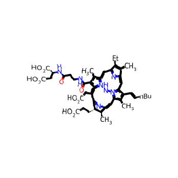 CCCC/C=C/c1c(C)c2n3c1/C=C1N=C(/C=c4/c(C)c(C(=O)NCCC(=O)N[C@@H](CC(=O)O)C(=O)O)/c(n4N3)=C(\CC(=O)O)C3=N/C(=C\2)[C@@H](C)[C@@H]3CCC(=O)O)C(CC)=C\1C